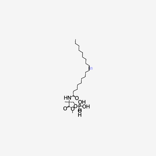 CCCCCCCC/C=C\CCCCCCCC(=O)NC(C)(CO[PH](O)(O)O)C(=O)OC